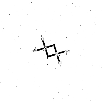 CCC[Si]1(Cl)C[Si](Cl)(CCC)C1